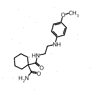 COc1ccc(NCCNC(=O)C2(C(N)=O)[CH]CCCC2)cc1